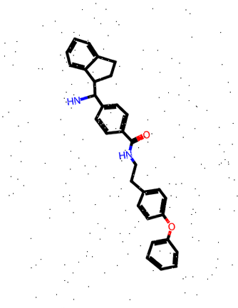 [NH]C(c1ccc(C(=O)NCCc2ccc(Oc3ccccc3)cc2)cc1)C1CCc2ccccc21